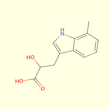 Cc1cccc2c(CC(O)C(=O)O)c[nH]c12